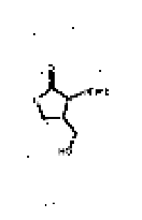 CCCCCN1C(=O)OCC1CO